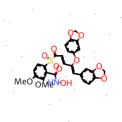 COc1ccc(S(=O)(=O)C(=O)C=CC(=Cc2ccc3c(c2)OCO3)Oc2ccc3c(c2)OCO3)c(C(=O)NO)c1OC